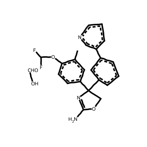 Cc1cc(C2(c3cccc(-c4cccnc4)c3)COC(N)=N2)ccc1OC(F)F.O=CO